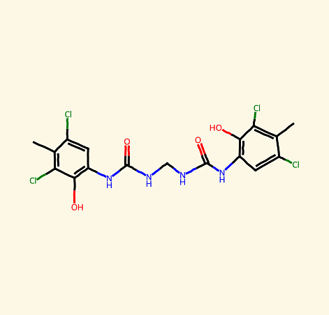 Cc1c(Cl)cc(NC(=O)NCNC(=O)Nc2cc(Cl)c(C)c(Cl)c2O)c(O)c1Cl